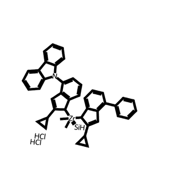 Cl.Cl.[CH3][Zr]([CH3])(=[SiH2])([CH]1C(C2CC2)=Cc2c(-c3ccccc3)cccc21)[CH]1C(C2CC2)=Cc2c1cccc2-n1c2ccccc2c2ccccc21